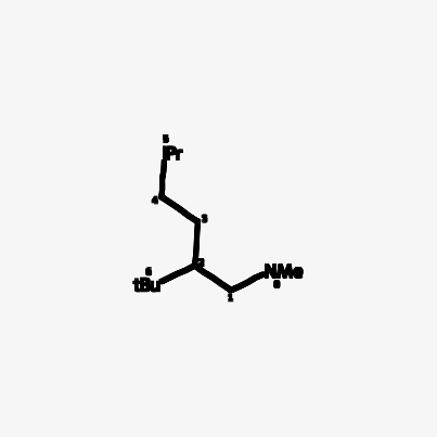 CNCC(CCC(C)C)C(C)(C)C